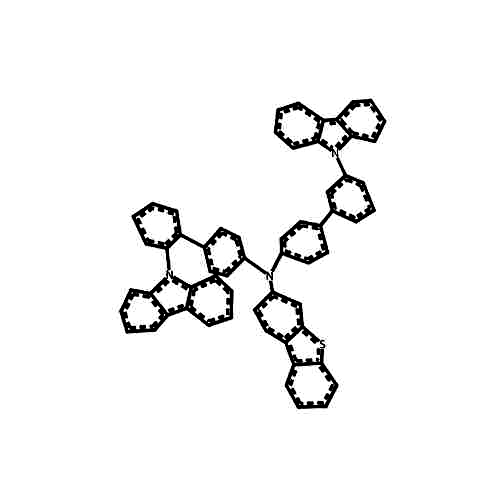 c1cc(-c2ccc(N(c3ccc(-c4ccccc4-n4c5ccccc5c5ccccc54)cc3)c3ccc4c(c3)sc3ccccc34)cc2)cc(-n2c3ccccc3c3ccccc32)c1